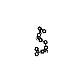 C1=CC2c3ccccc3N(c3ccc4oc5ccc(-c6cccc(-c7ccc8oc9c(c8c7)CC(n7c8ccccc8c8ccccc87)C=C9)c6)cc5c4c3)C2C=C1